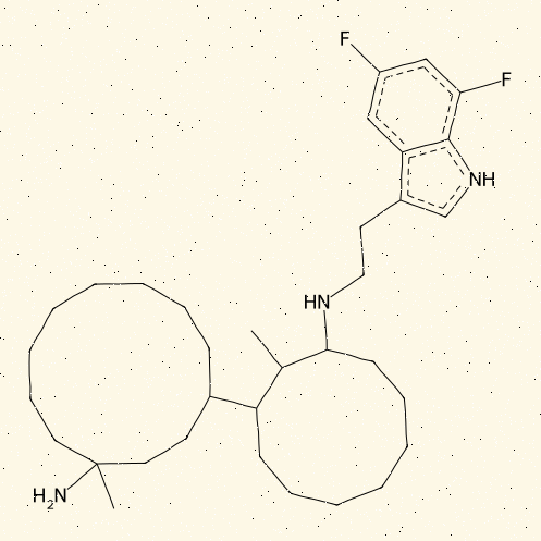 CC1C(NCCc2c[nH]c3c(F)cc(F)cc23)CCCCCCCC1C1CCCCCCCCC(C)(N)CC1